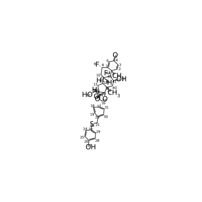 C[C@]12C=CC(=O)C=C1[C@@H](F)C[C@H]1[C@@H]3C[C@H]4O[C@@H](c5ccc(CSc6ccc(O)cc6)cc5)O[C@@]4(C(=O)CO)[C@@]3(C)C[C@H](O)[C@@]12F